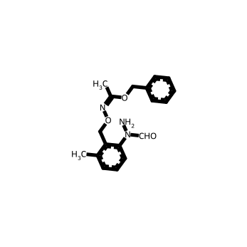 CC(=NOCc1c(C)cccc1N(N)C=O)OCc1ccccc1